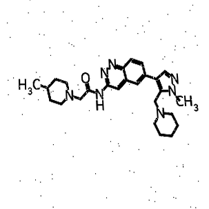 CC1CCN(CC(=O)Nc2cc3cc(-c4cnn(C)c4CN4CCCCC4)ccc3nn2)CC1